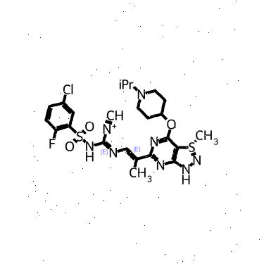 C#[N+]/C(=N\C=C(/C)c1nc2c(c(OC3CCN(C(C)C)CC3)n1)S(C)=NN2)NS(=O)(=O)c1cc(Cl)ccc1F